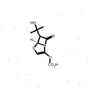 CC(C)(O)C1C(=O)N2C(OC(=O)O)=CS[C@@H]12